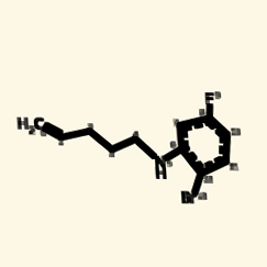 C=CCCCNc1cc(F)ccc1Br